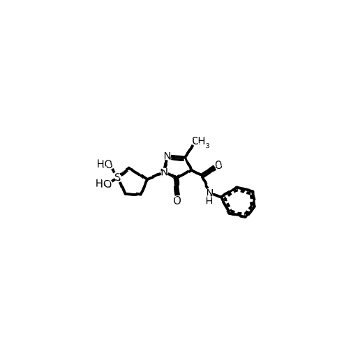 CC1=NN(C2CCS(O)(O)C2)C(=O)C1C(=O)Nc1ccccc1